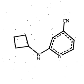 N#Cc1ccnc(NC2CCC2)c1